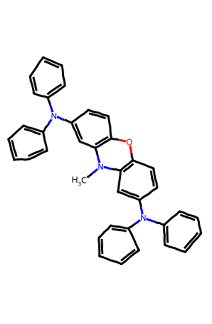 CN1c2cc(N(c3ccccc3)c3ccccc3)ccc2Oc2ccc(N(c3ccccc3)c3ccccc3)cc21